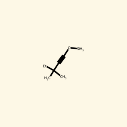 CCC(C)(C)C#CO[SiH3]